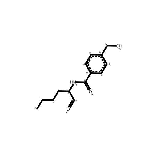 CCCCC([C]=O)NC(=O)c1ccc(CO)cc1